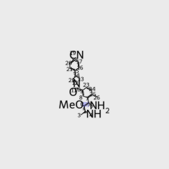 CO/C(C(C)=N)=C(/N)c1cc(C(=O)N2CC(c3ccc(C#N)cc3)C2)ccc1C